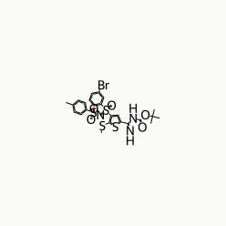 CSc1sc(C(=N)NC(=O)OC(C)(C)C)cc1S(=O)(=NS(=O)(=O)c1ccc(C)cc1)c1cccc(Br)c1